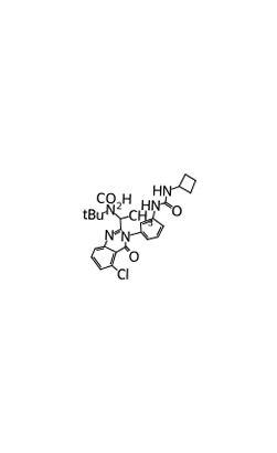 CC(c1nc2cccc(Cl)c2c(=O)n1-c1cccc(NC(=O)NC2CCC2)c1)N(C(=O)O)C(C)(C)C